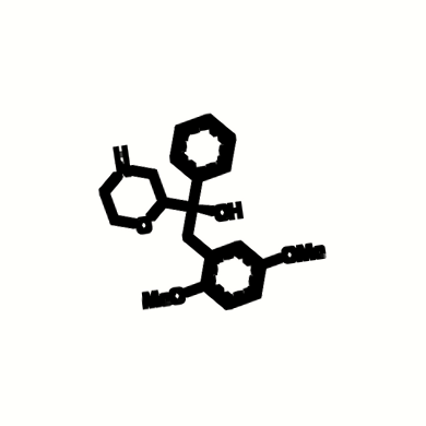 COc1ccc(OC)c(C[C@@](O)(c2ccccc2)C2CNCCO2)c1